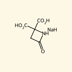 O=C1CC(C(=O)O)(C(=O)O)N1.[NaH]